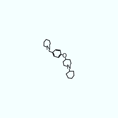 c1cc(OC2CCN(C3CCCCC3)CC2)ccc1CN1CCCCC1